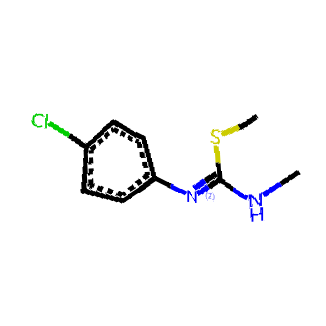 CN/C(=N/c1ccc(Cl)cc1)SC